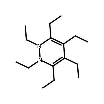 CCC1=C(CC)N(CC)N(CC)C(CC)=C1CC